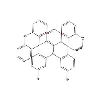 Brc1ccc2c(c1)N1c3cc(Br)ccc3C3(c4ccccc4Oc4ccccc43)c3cccc(c31)C21c2ccccc2Oc2ccccc21